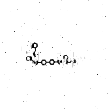 COC(=O)N[C@H](C(=O)N1CCC[C@H]1c1ncc(-c2ccc(-c3ccc(-c4cnc(C5C6CCC(C6)[C@@H]5C(=O)NCc5cccnc5C(F)(F)F)[nH]4)cc3)cc2)[nH]1)C(C)C